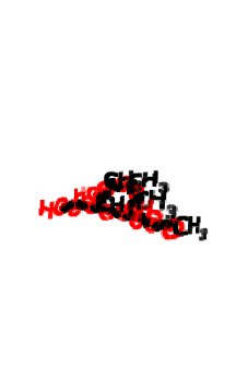 CC(O)COC(C)COC(C)COC(C)CO.COCCOCCOCCOCCOCCOCCOCCO